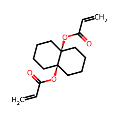 C=CC(=O)O[C@]12CCCC[C@@]1(OC(=O)C=C)CCCC2